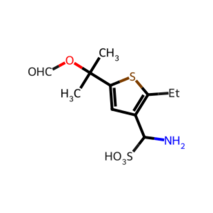 CCc1sc(C(C)(C)OC=O)cc1C(N)S(=O)(=O)O